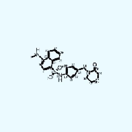 CNc1ccc(S(=O)(=O)Nc2ccc(CN3CCOCC3=O)cc2)c2ccccc12